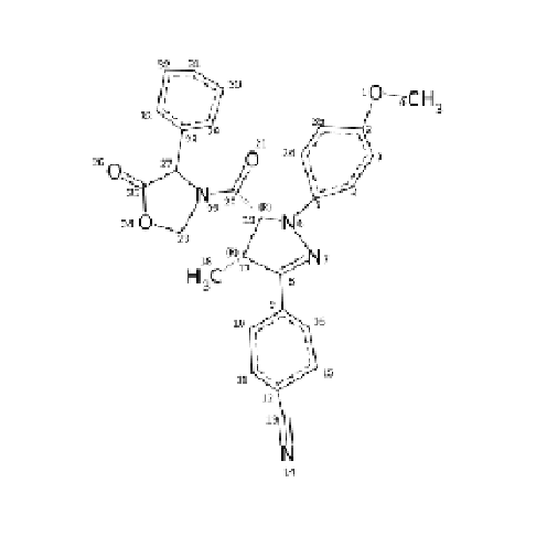 COc1ccc(N2N=C(c3ccc(C#N)cc3)[C@H](C)[C@@H]2C(=O)N2COC(=O)C2c2ccccc2)cc1